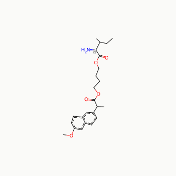 CCC(C)[C@H](N)C(=O)OCCCCOC(=O)C(C)c1ccc2cc(OC)ccc2c1